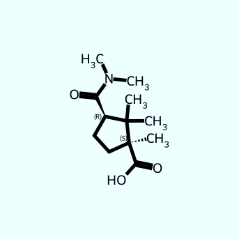 CN(C)C(=O)[C@@H]1CC[C@](C)(C(=O)O)C1(C)C